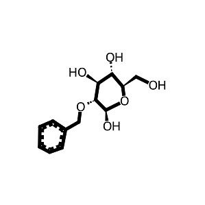 OC[C@H]1O[C@@H](O)[C@H](OCc2ccccc2)[C@@H](O)[C@@H]1O